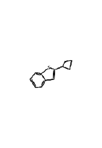 c1ccc2sc([C]3CCC3)cc2c1